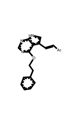 CC(=O)C=Cc1c[nH]c2ncnc(OCCc3ccccc3)c12